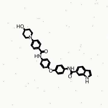 O=C(Nc1ccc(Oc2ccc(NC(=O)c3ccc4cc[nH]c4c3)cc2)cc1)c1ccc(N2CCC(O)CC2)cc1